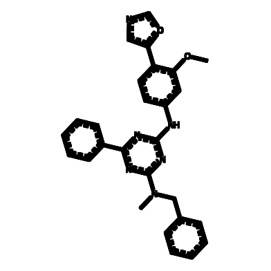 COc1cc(Nc2nc(-c3ccccc3)nc(N(C)Cc3ccccc3)n2)ccc1-c1cnco1